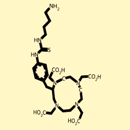 NCCCCNC(=S)Nc1ccc(CC2CN(CC(=O)O)CCN(CC(=O)O)CCN(CC(=O)O)CCN2CC(=O)O)cc1